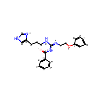 O=C(N/C(=N\CCOc1ccccc1)NCCCc1c[nH]cn1)c1ccccc1